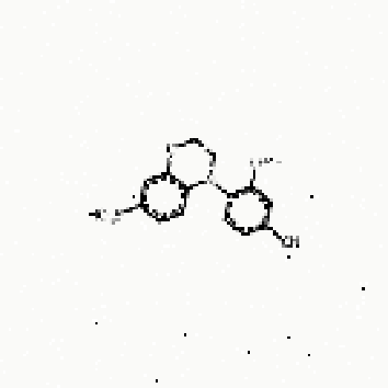 COc1cc(C#N)ccc1N1CCOc2cc(S(=O)(=O)O)ccc21